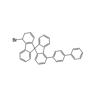 BrC1CC=CC2=C1c1ccccc1C21c2ccccc2-c2c(-c3ccc(-c4ccccc4)cc3)cccc21